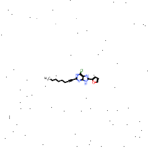 CCCCCCC#Cc1nc(Cl)c2nc(-c3ccco3)[nH]c2n1